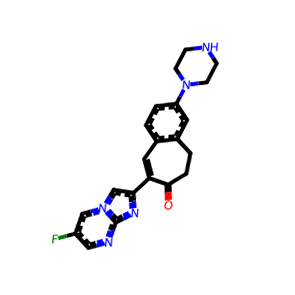 O=C1CCc2cc(N3CCNCC3)ccc2C=C1c1cn2cc(F)cnc2n1